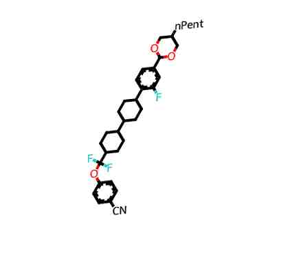 CCCCCC1COC(c2ccc(C3CCC(C4CCC(C(F)(F)Oc5ccc(C#N)cc5)CC4)CC3)c(F)c2)OC1